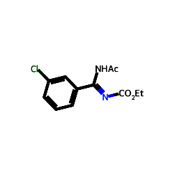 CCOC(=O)/N=C(\NC(C)=O)c1cccc(Cl)c1